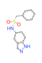 O=S(=O)(Cc1ccccc1)Nc1ccc2[nH]ncc2c1